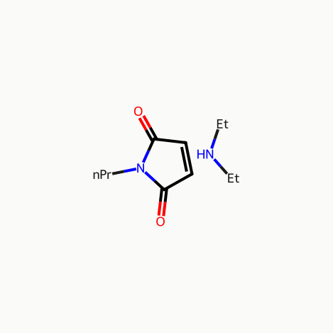 CCCN1C(=O)C=CC1=O.CCNCC